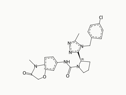 Cc1nnc([C@H]2CCCN2C(=O)Nc2ccc3c(c2)OCC(=O)N3C)n1Cc1ccc(Cl)cc1